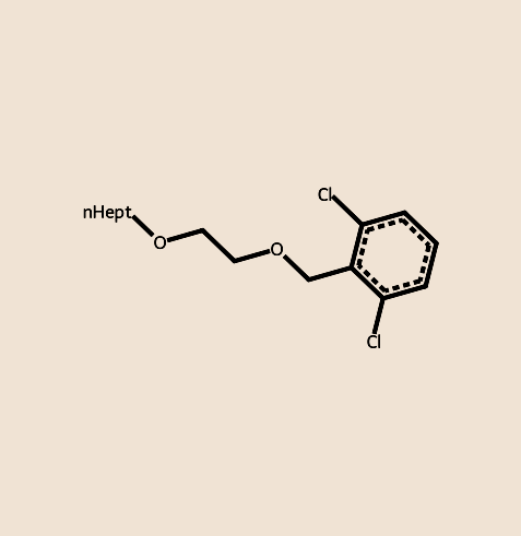 CCCCCCCOCCOCc1c(Cl)cccc1Cl